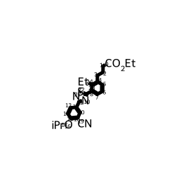 CCOC(=O)CCCc1cccc(-c2nc(-c3ccc(OC(C)C)c(C#N)c3)ns2)c1CC